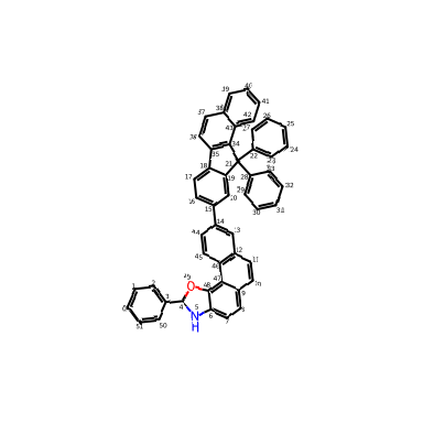 c1ccc(C2Nc3ccc4ccc5cc(-c6ccc7c(c6)C(c6ccccc6)(c6ccccc6)c6c-7ccc7ccccc67)ccc5c4c3O2)cc1